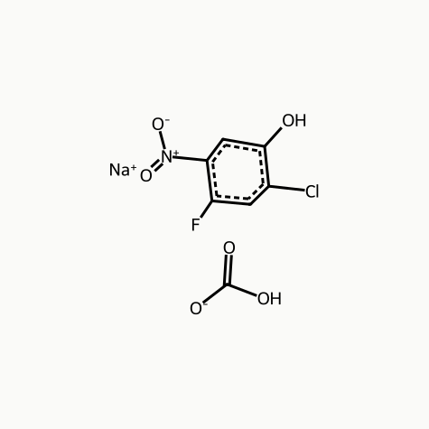 O=C([O-])O.O=[N+]([O-])c1cc(O)c(Cl)cc1F.[Na+]